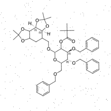 CC1(C)OC2CC(COC3OC(COCc4ccccc4)[C@@H](OCc4ccccc4)[C@H](OCc4ccccc4)C3OC(=O)C(C)(C)C)[C@@H]3OC(C)(C)O[C@@H]3C2O1